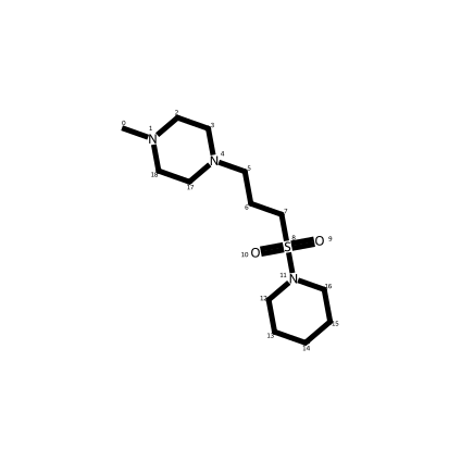 CN1CCN(CCCS(=O)(=O)N2CC[CH]CC2)CC1